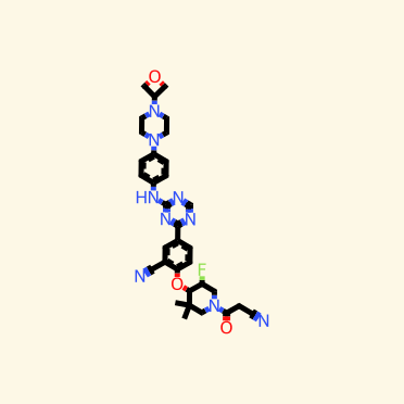 CC1(C)CN(C(=O)CC#N)CC(F)C1Oc1ccc(-c2ncnc(Nc3ccc(N4CCN(C5COC5)CC4)cc3)n2)cc1C#N